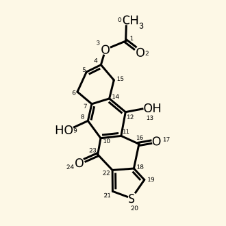 CC(=O)OC1=CCc2c(O)c3c(c(O)c2C1)C(=O)c1cscc1C3=O